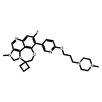 CN1CCN(CCCOc2ccc(-c3c(F)cc4ncc5c6c4c3OCC3(CCC3)N6CN5C)cn2)CC1